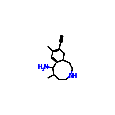 C#CC1=C(C)C=C2C(CCNCCC(C)[C@H]2N)C1